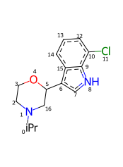 CC(C)N1CCOC(c2c[nH]c3c(Cl)cccc23)C1